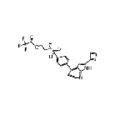 O=C(OCCNS(=O)(=O)c1ccc(-c2ccnc3[nH]c(C4=CC=C4)cc23)cc1)C(F)(F)F